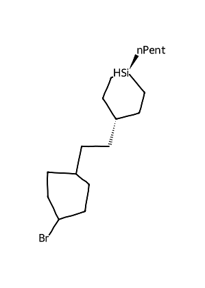 CCCCC[Si@H]1CC[C@H](CCC2CCC(Br)CC2)CC1